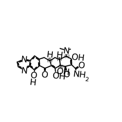 CN(C)[C@@H]1C(O)=C(C(N)=O)C(=O)[C@@]2(O)C(O)=C3C(=O)c4c(cc5nccnc5c4O)C[C@H]3C[C@@H]12